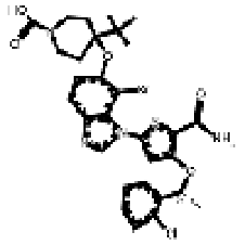 C[C@@H](Oc1cc(-n2cnc3ccc(OC4(C(C)(C)C)CCN(C(=O)O)CC4)c(Br)c32)sc1C(N)=O)c1ccccc1Cl